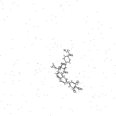 CN[C@H]1CC[C@H](n2cc(Nc3c(C(=O)C4CC4)cnc4ccc(-c5cc(Cl)c(O)c(Cl)c5)cc34)cn2)CC1